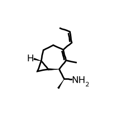 C/C=C\C1=C(C)[C@@H]([C@H](C)N)C2C[C@@H]2CC1